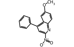 COc1ccc2nc([N+](=O)[O-])cc(-c3ccccc3)c2c1